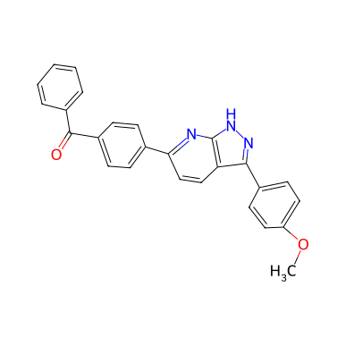 COc1ccc(-c2n[nH]c3nc(-c4ccc(C(=O)c5ccccc5)cc4)ccc23)cc1